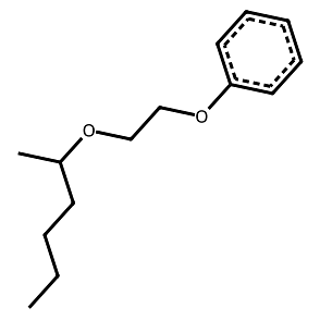 CCCCC(C)OCCOc1ccccc1